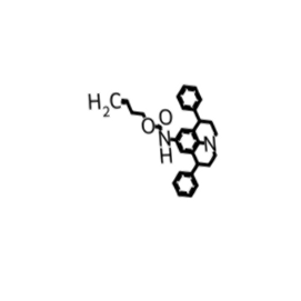 C=CCCOC(=O)Nc1cc2c3c(c1)C(c1ccccc1)CCN3CCC2c1ccccc1